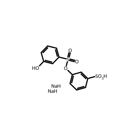 O=S(=O)(O)c1cccc(OS(=O)(=O)c2cccc(O)c2)c1.[NaH].[NaH]